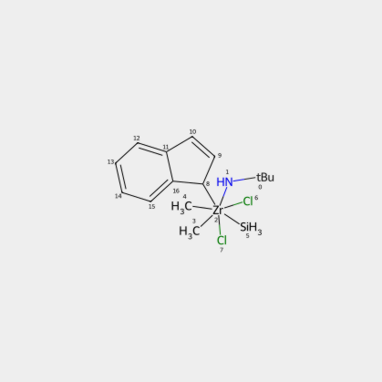 CC(C)(C)[NH][Zr]([CH3])([CH3])([SiH3])([Cl])([Cl])[CH]1C=Cc2ccccc21